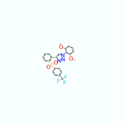 COc1cccc(OC)c1-n1cc(-c2ccccc2S(=O)(=O)c2ccc(C(F)(F)F)cc2)nn1